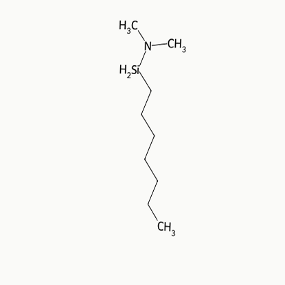 CCCCCCC[SiH2]N(C)C